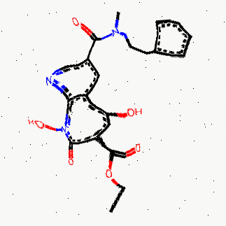 CCOC(=O)c1c(O)c2cc(C(=O)N(C)Cc3ccccc3)cnc2n(O)c1=O